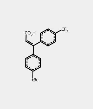 CC(C)(C)c1ccc(/C(=C/C(=O)O)c2ccc(C(F)(F)F)cc2)cc1